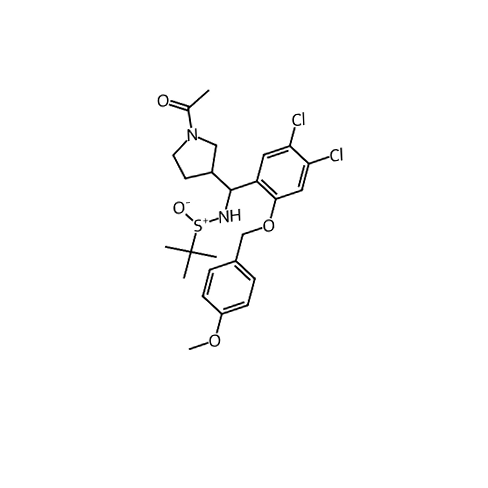 COc1ccc(COc2cc(Cl)c(Cl)cc2C(N[S+]([O-])C(C)(C)C)C2CCN(C(C)=O)C2)cc1